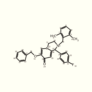 Cc1cccc(C)c1CN1CCn2cc(OCc3ccccc3)c(=O)cc2C1c1ccc(F)cc1